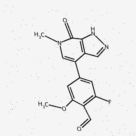 COc1cc(-c2cn(C)c(=O)c3[nH]ncc23)cc(F)c1C=O